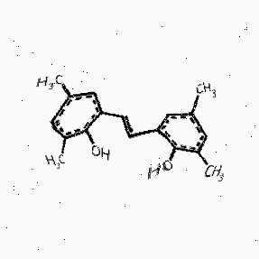 Cc1cc(C)c(O)c(C=Cc2cc(C)cc(C)c2O)c1